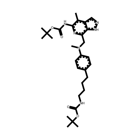 Cc1c(NC(=O)OC(C)(C)C)nc(CN(C)c2ccc(CCCCNC(=O)OC(C)(C)C)cc2)c2[nH]ncc12